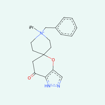 CC(C)[N+]1(Cc2ccccc2)CCC2(CC1)CC(=O)c1[nH]ncc1O2